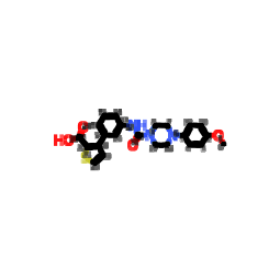 COc1ccc(N2CCN(C(=O)Nc3cccc(-c4ccsc4C(=O)O)c3)CC2)cc1